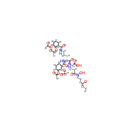 CCOC(=O)CCCN(O)C(=O)CC[C@H](NC(=O)[C@@H](CCCNC(=O)c1cccc(OC(C)=O)c1OC(C)=O)NC(=O)c1cccc(OC(C)=O)c1OC(C)=O)C(=O)O